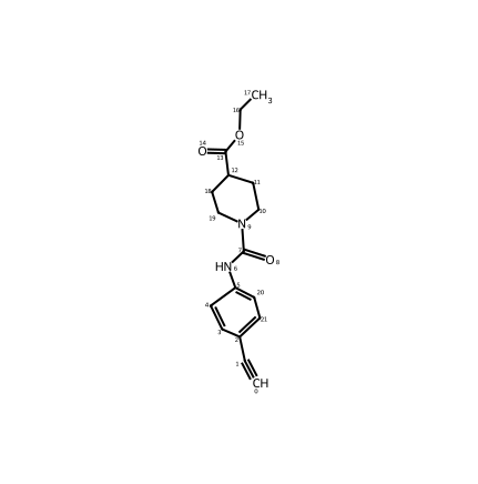 C#Cc1ccc(NC(=O)N2CCC(C(=O)OCC)CC2)cc1